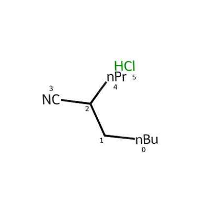 CCCCCC(C#N)CCC.Cl